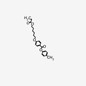 C=CC(=O)OCCCCCCOc1ccc(C(=O)Oc2ccc(C)cc2)cc1